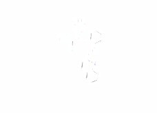 CCOC(Cc1ccccc1OCc1ccc2ccccc2n1)C(=O)O